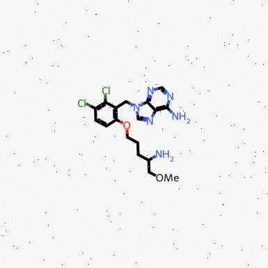 COCC(N)CCCOc1ccc(Cl)c(Cl)c1Cn1cnc2c(N)ncnc21